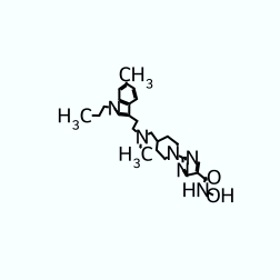 CCCn1cc(CCN(CC)CC2CCN(c3ncc(C(=O)NO)cn3)CC2)c2ccc(C)cc21